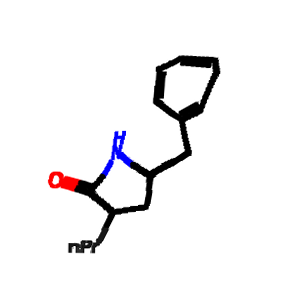 CCCC1CC(Cc2ccccc2)NC1=O